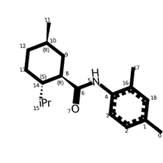 Cc1ccc(NC(=O)[C@@H]2C[C@H](C)CC[C@H]2C(C)C)c(C)c1